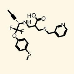 CC#C[C@H](NCC(CSCc1cccnc1)C(=O)O)C(F)(F)Oc1ccc(SC)cc1